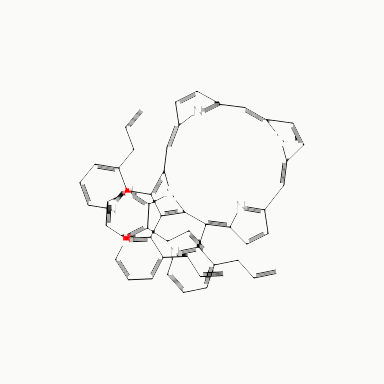 C=CCc1cccnc1-c1c(-c2ncccc2CC=C)c2c(-c3ncccc3CC=C)c3nc(cc4ccc(cc5nc(cc1n2-c1ncccc1CC=C)C=C5)[nH]4)C=C3